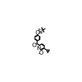 COc1nc(C(=O)c2ccc(O[Si](C)(C)C(C)(C)C)cc2)ccc1C1CC1